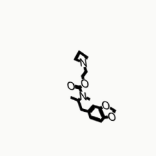 CC(Cc1ccc2c(c1)OCO2)N(C)C(=O)OCCN1CCC1